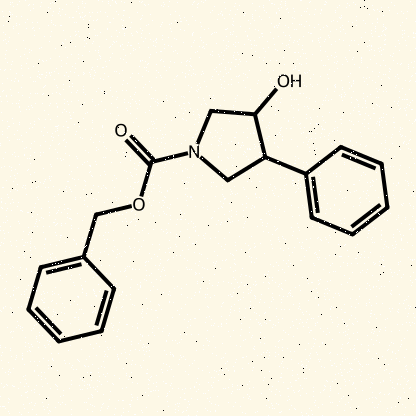 O=C(OCc1ccccc1)N1CC(O)C(c2ccccc2)C1